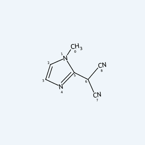 Cn1ccnc1C(C#N)C#N